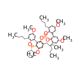 CCCCc1cc(OC)cc(-c2cc(OC)cc(CCCC)c2Op2oc3c(CCCC)cc(OC)cc3c3cc(OC)cc(CCCC)c3o2)c1OP(C1CCCCC1)C1CCCCC1